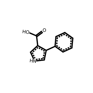 O=C(O)c1c[nH]cc1-c1ccccc1